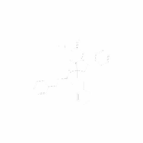 CC(C)(C)OC(=O)[C@H](Cc1ccccc1)N1CCC(CCc2ccccc2)(NC(=O)OCc2ccccc2)C1=O